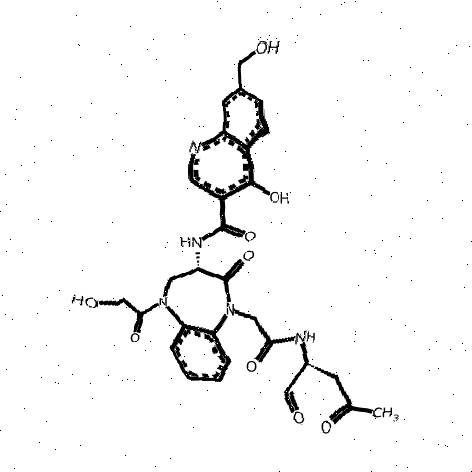 CC(=O)C[C@@H](C=O)NC(=O)CN1C(=O)[C@@H](NC(=O)c2cnc3cc(CO)ccc3c2O)CN(C(=O)CO)c2ccccc21